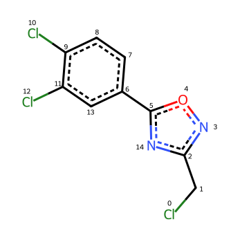 ClCc1noc(-c2ccc(Cl)c(Cl)c2)n1